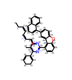 CC/C=C\C=C/C/C(C)=N/C(=N\C(C1=CCCC=C1)=C(\C)CC)c1cccc2oc3ccc(-c4cccc5ccccc45)cc3c12